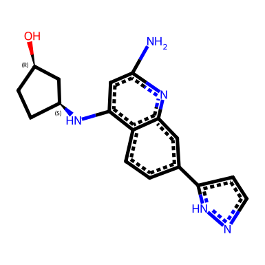 Nc1cc(N[C@H]2CC[C@@H](O)C2)c2ccc(-c3ccn[nH]3)cc2n1